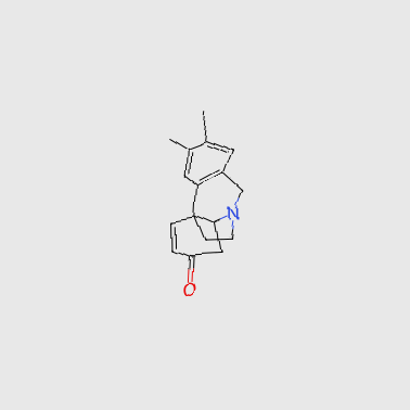 Cc1cc2c(cc1C)C13C=CC(=O)CC1N(CC3)C2